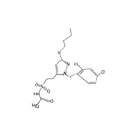 CCCCOc1cc(CCS(=O)(=O)NC(=O)O)n(Cc2ccc(Cl)cc2Cl)n1